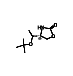 CC(OC(C)(C)C)[C@H]1COC(=O)N1